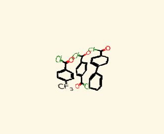 O=C(Cl)c1ccc(-c2ccccc2)cc1.O=C(Cl)c1ccc(C(=O)Cl)cc1.O=C(Cl)c1ccc(C(F)(F)F)cc1